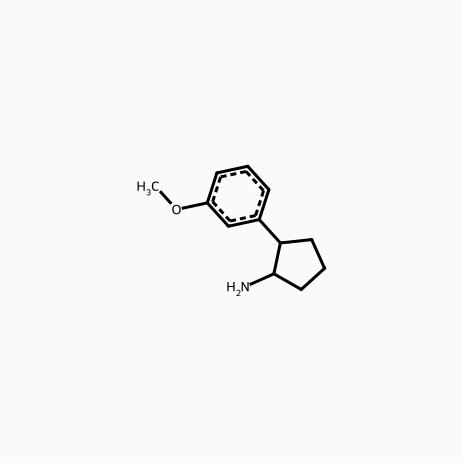 COc1cccc(C2CCCC2N)c1